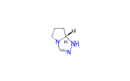 C1=NN[C@H]2CCCN12